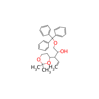 C=CC(C(O)COC(c1ccccc1)(c1ccccc1)c1ccccc1)C1CCOC(C)(C)O1